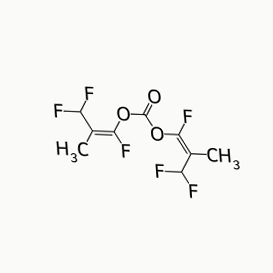 CC(=C(F)OC(=O)OC(F)=C(C)C(F)F)C(F)F